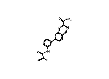 C=C(F)C(=O)Nc1cccc(-c2ccc3cnc(C(N)=O)nc3c2)c1